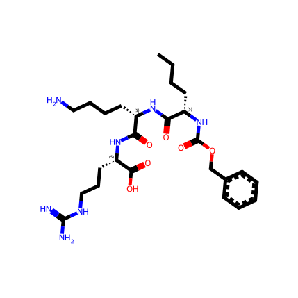 CCCC[C@H](NC(=O)OCc1ccccc1)C(=O)N[C@@H](CCCCN)C(=O)N[C@@H](CCCNC(=N)N)C(=O)O